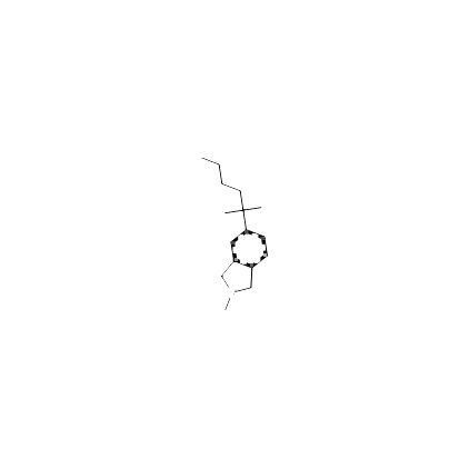 CCCCC(C)(C)c1ccc2c(c1)CN(C)C2